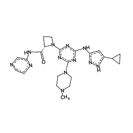 CN1CCN(c2nc(Nc3cc(C4CC4)[nH]n3)nc(N3CC[C@H]3C(=O)Nc3cnccn3)n2)CC1